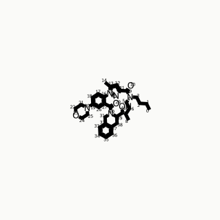 CCCCN(CCCC)C(=O)c1cc(C)n(-c2ccc(N3CCOCC3)cc2C(=O)N2Cc3ccccc3CC2CO)n1